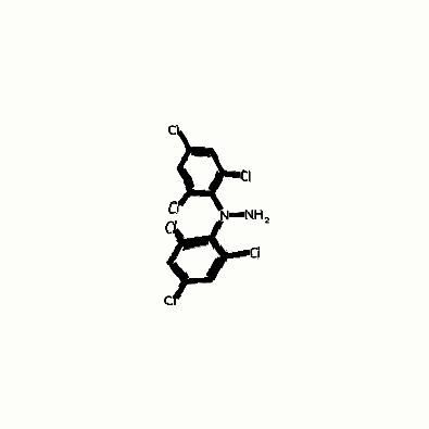 NN(c1c(Cl)cc(Cl)cc1Cl)c1c(Cl)cc(Cl)cc1Cl